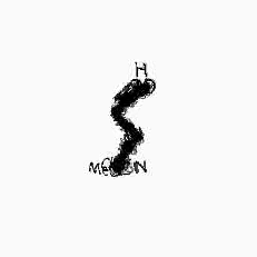 COc1c(Cl)cc(C(C)(C)c2ccc(OCc3ccnc(N4CCC5(CC4)CC(CN4CCC(c6ccc7c(c6)n(C)c(=O)n7C6CCC(=O)NC6=O)CC4)C5)n3)cc2)cc1C#N